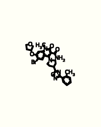 Cc1ccccc1-c1noc(C2CCN(c3c(C(N)=O)c(=O)n(C)c4cc(OC5CCOC5)c(Br)cc34)CC2)n1